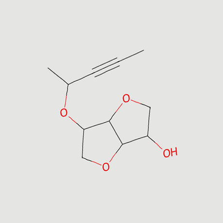 CC#CC(C)OC1COC2C(O)COC12